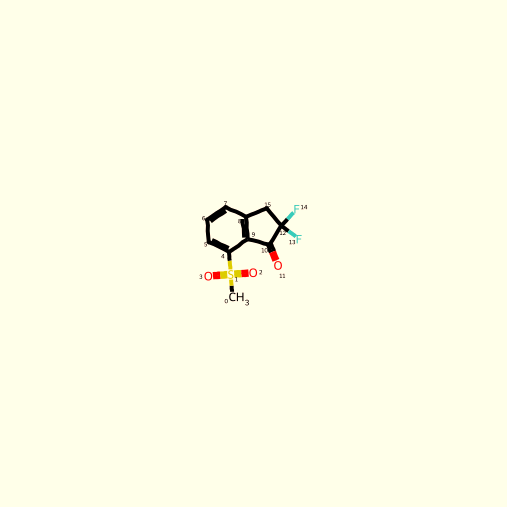 CS(=O)(=O)c1cccc2c1C(=O)C(F)(F)C2